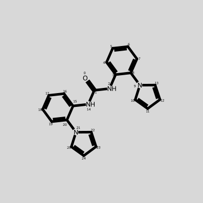 O=C(Nc1ccccc1-n1cccc1)Nc1ccccc1-n1cccc1